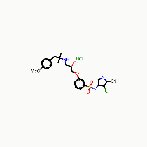 COc1ccc(CC(C)(C)NC[C@@H](O)COc2cccc(S(=O)(=O)NC3CNC(C#N)C3Cl)c2)cc1.Cl